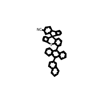 N#Cc1ccc2c(c1)C1(c3ccccc3Sc3c(-c4c5ccccc5c(-c5ccc6ccccc6c5)c5ccccc45)cccc31)c1ccccc1-2